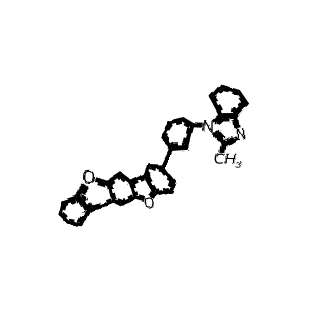 Cc1nc2ccccc2n1-c1cccc(-c2ccc3oc4cc5c(cc4c3c2)oc2ccccc25)c1